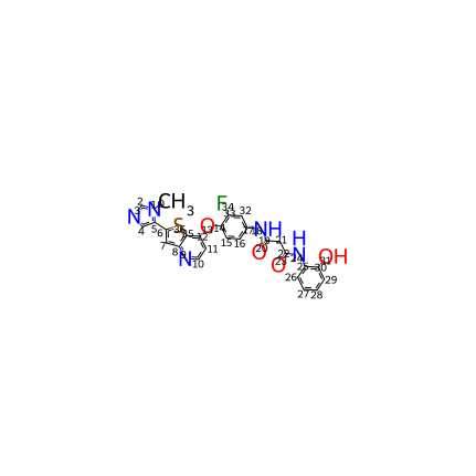 Cn1cncc1-c1cc2nccc(Oc3ccc(NC(=O)CC(=O)Nc4ccccc4O)cc3F)c2s1